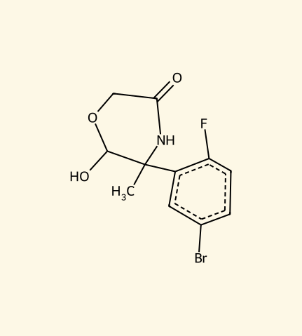 CC1(c2cc(Br)ccc2F)NC(=O)COC1O